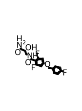 NC(=O)C(O)CNC(=O)c1c(F)cc(OCc2ccc(F)cc2)cc1F